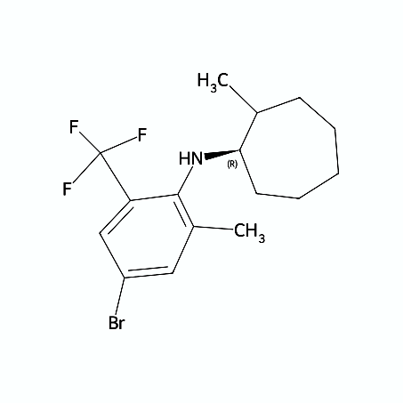 Cc1cc(Br)cc(C(F)(F)F)c1N[C@@H]1CCCCCC1C